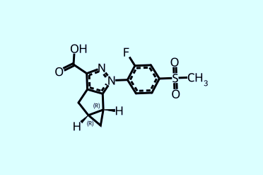 CS(=O)(=O)c1ccc(-n2nc(C(=O)O)c3c2[C@@H]2C[C@@H]2C3)c(F)c1